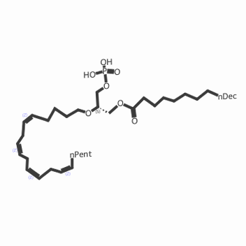 CCCCC/C=C\C/C=C\C/C=C\C/C=C\CCCCO[C@@H](COC(=O)CCCCCCCCCCCCCCCCC)COP(=O)(O)O